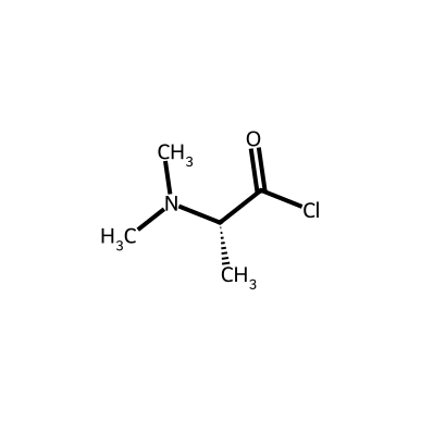 C[C@@H](C(=O)Cl)N(C)C